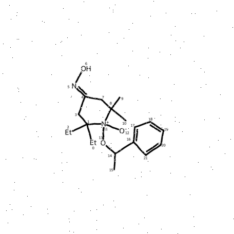 CCC1(CC)CC(=NO)CC(C)(C)[N+]1([O-])OC(C)c1ccccc1